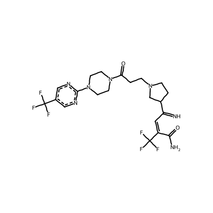 N=C(/C=C(\C(N)=O)C(F)(F)F)C1CCN(CCC(=O)N2CCN(c3ncc(C(F)(F)F)cn3)CC2)C1